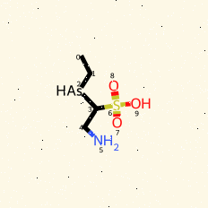 CC[AsH]C(CN)S(=O)(=O)O